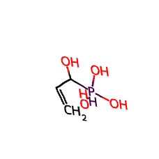 C=CC(O)[PH](O)(O)O